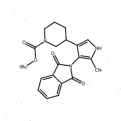 CC(C)(C)OC(=O)N1CCCC(c2c[nH]c(C#N)c2N2C(=O)c3ccccc3C2=O)C1